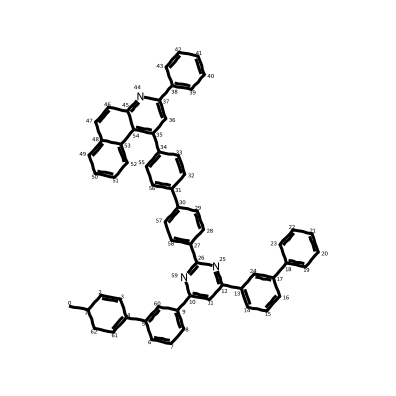 CC1C=CC(c2cccc(-c3cc(-c4cccc(-c5ccccc5)c4)nc(-c4ccc(-c5ccc(-c6cc(-c7ccccc7)nc7ccc8ccccc8c67)cc5)cc4)n3)c2)=CC1